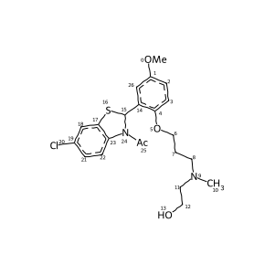 COc1ccc(OCCCN(C)CCO)c(C2Sc3cc(Cl)ccc3N2C(C)=O)c1